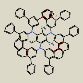 C=C/C(=C\C(=C/c1ccccc1)N(c1cc(-c2ccccc2)cc(-c2ccccc2)c1)c1c(C)c(N(c2cc(-c3ccccc3)cc(-c3ccccc3)c2)c2cc(-c3ccccc3)cc(-c3ccccc3)c2)c(C)c(N(c2cc(-c3ccccc3)cc(-c3ccccc3)c2)c2cc(-c3ccccc3)cc(-c3ccccc3)c2)c1C)c1ccccc1